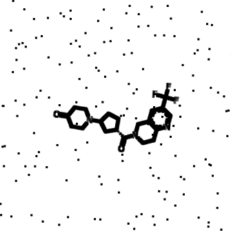 O=C1CCN(C2CC[C@H](C(=O)N3CCc4ncc(C(F)(F)F)cc4C3)C2)CC1